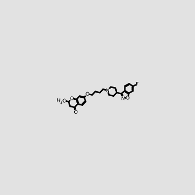 CC1CC(=O)c2ccc(OCCCCN3CCC(c4noc5cc(F)ccc45)CC3)cc2O1